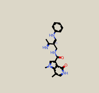 CC(=N)/C(=C\Nc1ccccc1)CNC(=O)c1cn(C)c2c(C)c[nH]c(=O)c12